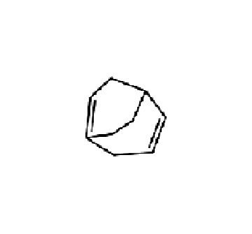 C1=CC2CC=C(C1)CC2